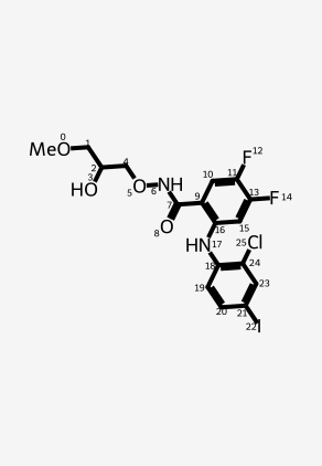 COCC(O)CONC(=O)c1cc(F)c(F)cc1Nc1ccc(I)cc1Cl